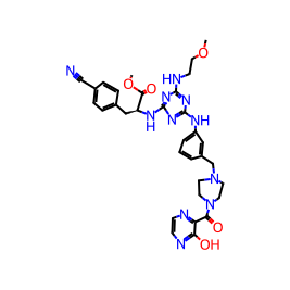 COCCNc1nc(Nc2cccc(CN3CCN(C(=O)c4nccnc4O)CC3)c2)nc(N[C@@H](Cc2ccc(C#N)cc2)C(=O)OC)n1